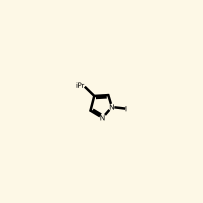 CC(C)c1cnn(I)c1